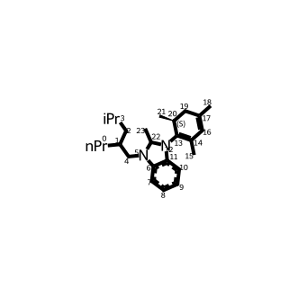 CCCC(CC(C)C)CN1c2ccccc2N(C2=C(C)C=C(C)C[C@@H]2C)C1C